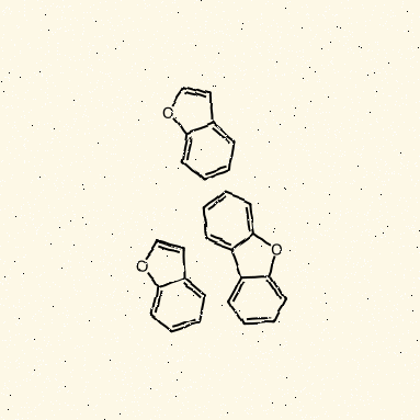 c1ccc2c(c1)oc1ccccc12.c1ccc2occc2c1.c1ccc2occc2c1